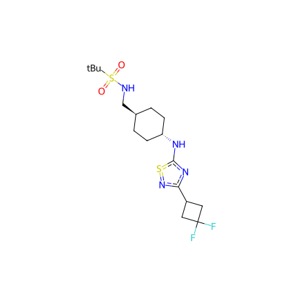 CC(C)(C)S(=O)(=O)NC[C@H]1CC[C@H](Nc2nc(C3CC(F)(F)C3)ns2)CC1